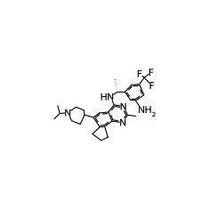 Cc1nc(N[C@H](C)c2cc(N)cc(C(F)(F)F)c2)c2cc(C3CCN(C(C)C)CC3)c3c(c2n1)CCC3